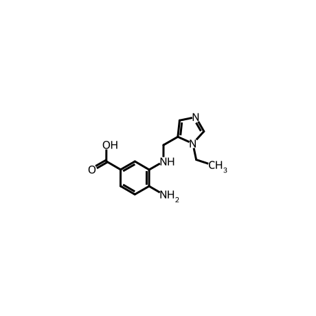 CCn1cncc1CNc1cc(C(=O)O)ccc1N